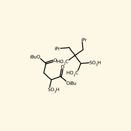 CC(C)CC(CC(C)C)(C(=O)O)C(C(=O)O)S(=O)(=O)O.CC(C)COC(=O)CC(C(=O)OCC(C)C)S(=O)(=O)O